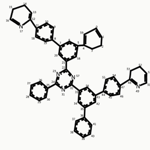 C1=CCCC(c2cc(-c3ccc(C4=CCCC=N4)cc3)cc(-c3nc(-c4ccccc4)nc(-c4cc(-c5ccccc5)cc(-c5ccc(C6=NC=CCC6)cc5)c4)n3)c2)=C1